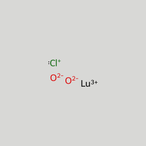 [Cl+].[Lu+3].[O-2].[O-2]